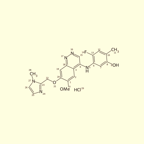 COc1cc2c(Nc3cc(O)c(C)cc3F)cnnc2cc1OCc1nccn1C.Cl